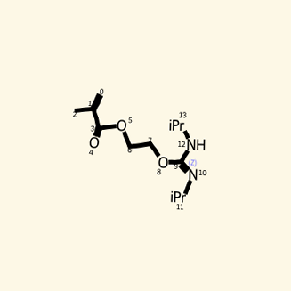 C=C(C)C(=O)OCCO/C(=N\C(C)C)NC(C)C